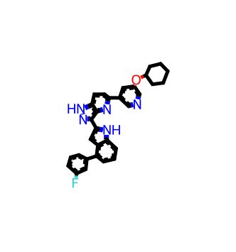 Fc1cccc(-c2cccc3[nH]c(-c4n[nH]c5ccc(-c6cncc(OC7CCCCC7)c6)nc45)cc23)c1